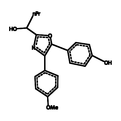 CCCC(O)c1nc(-c2ccc(OC)cc2)c(-c2ccc(O)cc2)o1